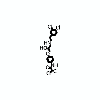 O=C(Nc1ccc(OC[C@@H](O)CNCCc2ccc(Cl)c(Cl)c2)cc1)C(Cl)Cl